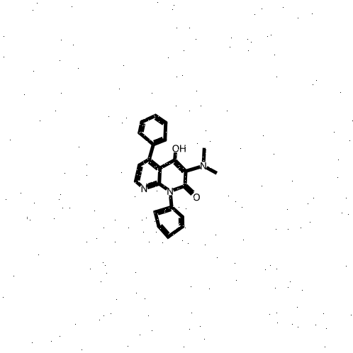 CN(C)c1c(O)c2c(-c3ccccc3)ccnc2n(-c2ccccc2)c1=O